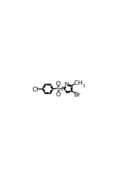 Cc1nn(S(=O)(=O)c2ccc(Cl)cc2)cc1Br